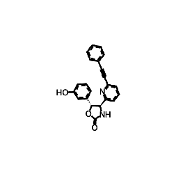 O=C1N[C@H](c2cccc(C#Cc3ccccc3)n2)[C@@H](c2cccc(O)c2)O1